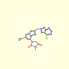 CN1C(=O)CN(c2cc(C3CC3)cn3cc(Cn4cc5c(Cl)ncnc5n4)nc23)C1=O